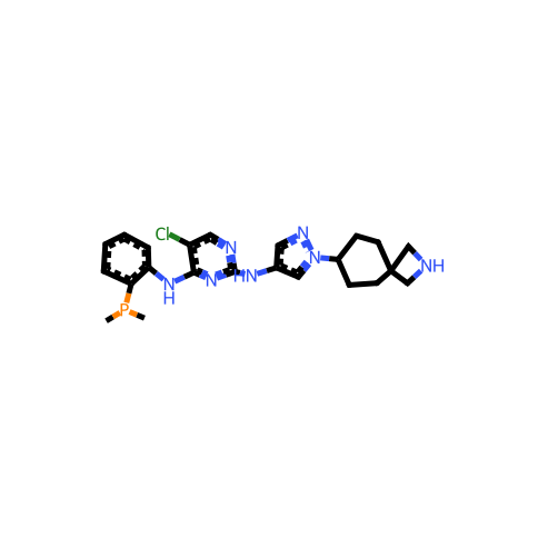 CP(C)c1ccccc1Nc1nc(Nc2cnn(C3CCC4(CC3)CNC4)c2)ncc1Cl